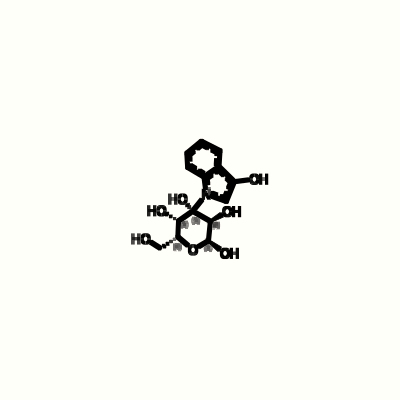 OC[C@H]1O[C@H](O)[C@H](O)[C@](O)(n2cc(O)c3ccccc32)[C@H]1O